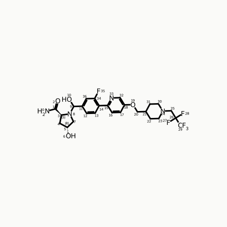 NC(=O)[C@@H]1C[C@@H](O)CN1C(O)c1ccc(-c2ccc(OCC3CCN(CC(F)(F)C(F)(F)F)CC3)cn2)c(F)c1